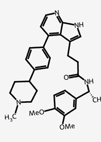 COc1ccc([C@@H](C)NC(=O)CCc2c[nH]c3nccc(-c4ccc(C5CCN(C)CC5)cc4)c23)cc1OC